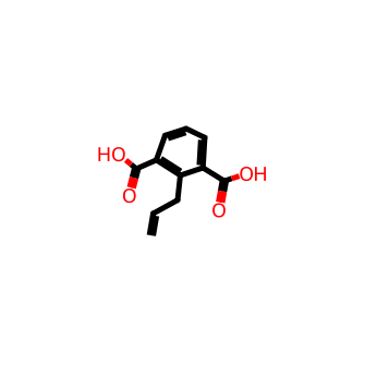 C=CCc1c(C(=O)O)cccc1C(=O)O